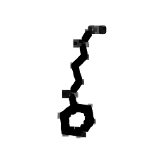 O=CNCCCNc1ccncc1